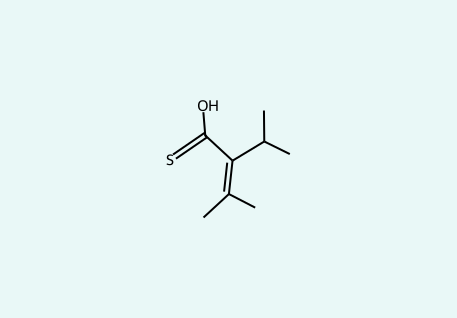 CC(C)=C(C(O)=S)C(C)C